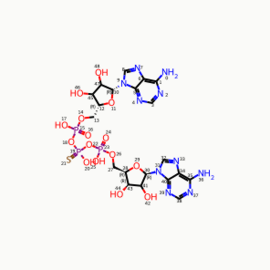 Nc1ncnc2c1ncn2[C@@H]1O[C@H](COP(=O)(O)OP(O)(=S)OP(=O)(O)OC[C@H]2O[C@@H](n3cnc4c(N)ncnc43)C(O)[C@H]2O)C(O)C1O